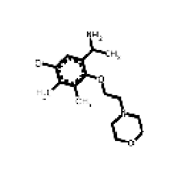 Cc1c(Cl)cc(C(C)N)c(OCCN2CCOCC2)c1C